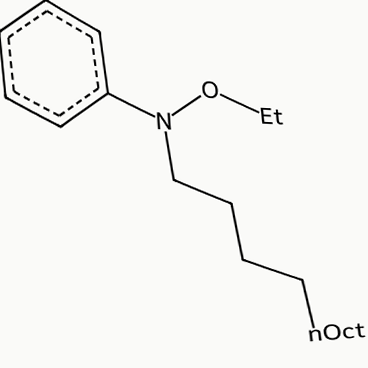 CCCCCCCCCCCCN(OCC)c1ccccc1